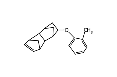 Cc1ccccc1OC1CC2CC1C1C3C=CC(C3)C21